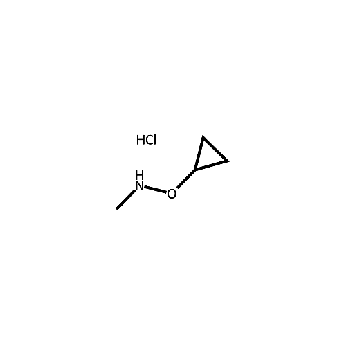 CNOC1CC1.Cl